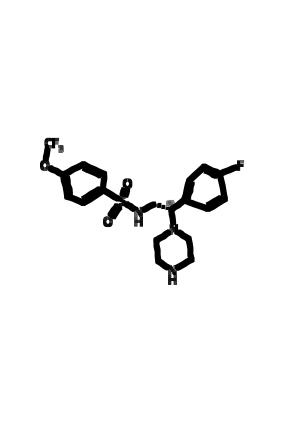 O=S(=O)(NC[C@H](c1ccc(F)cc1)N1CCNCC1)c1ccc(OC(F)(F)F)cc1